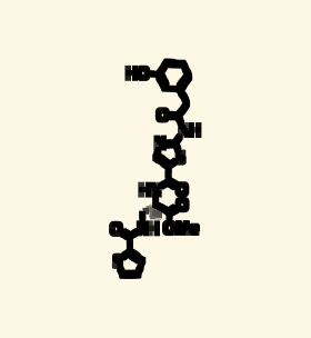 COC(=O)[C@H](CNC(=O)c1cccs1)NC(=O)c1cnc(NC(=O)Cc2cccc(O)c2)s1